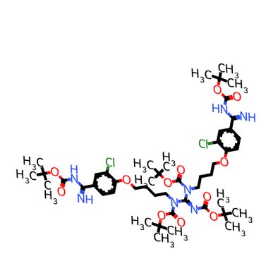 CC(C)(C)OC(=O)N=C(N(CCCCOc1ccc(C(=N)NC(=O)OC(C)(C)C)cc1Cl)C(=O)OC(C)(C)C)N(CCCCOc1ccc(C(=N)NC(=O)OC(C)(C)C)cc1Cl)C(=O)OC(C)(C)C